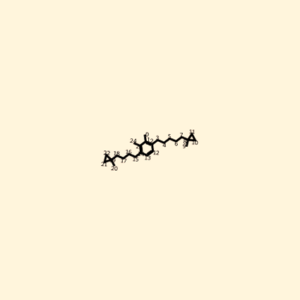 Cc1c(CCCCCC2(C)CC2)ccc(CCCCC2(C)CC2)c1C